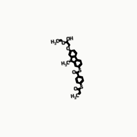 C=COC(O)COc1ccc2c(c1)[C@H](C)c1cc(SC(=O)c3ccc(SC(=O)C=C)cc3)ccc1-2